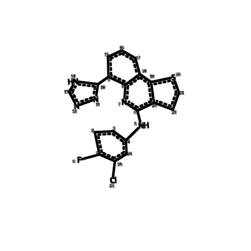 Fc1ccc(Nc2nc3c(-c4nnc[nH]4)cccc3c3sccc23)cc1Cl